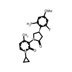 COc1cc(F)c([C@H]2CC(=O)N(c3c(C)ccn(C4CC4)c3=O)C2)c(P)c1